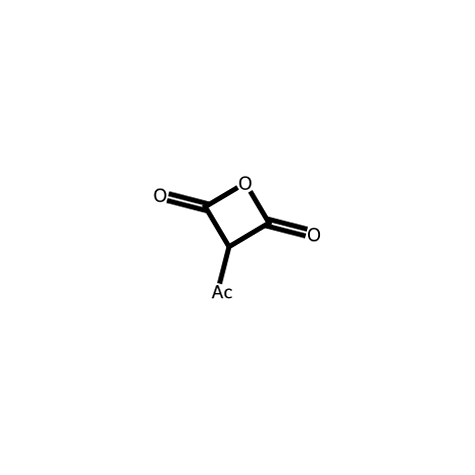 CC(=O)C1C(=O)OC1=O